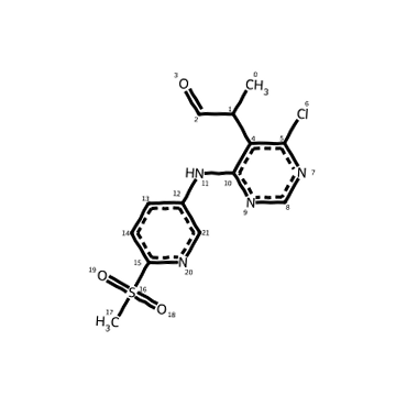 CC(C=O)c1c(Cl)ncnc1Nc1ccc(S(C)(=O)=O)nc1